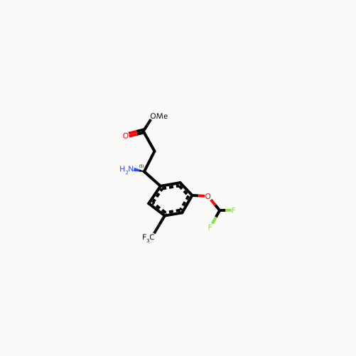 COC(=O)C[C@H](N)c1cc(OC(F)F)cc(C(F)(F)F)c1